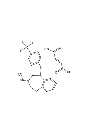 CNN1CCc2ccccc2C(Oc2ccc(C(F)(F)F)cc2)C1.O=C(O)C=CC(=O)O